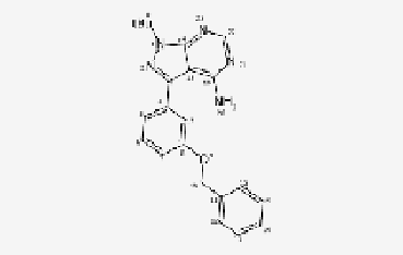 CC(C)(C)n1nc(-c2cccc(OCc3ccccc3)c2)c2c(N)ncnc21